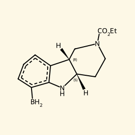 Bc1cccc2c1N[C@H]1CCN(C(=O)OCC)C[C@@H]21